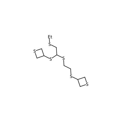 CCSCC(SCCSC1CSC1)SC1CSC1